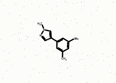 Cc1cc(-c2cnn(C)c2)cc(C(C)(C)C)c1